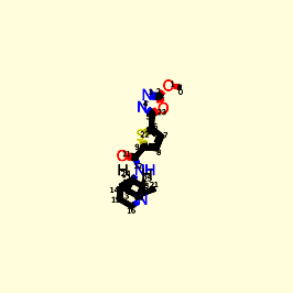 COc1nnc(-c2ccc(C(=O)N[C@@H]3C4CCN(CC4)[C@H]3C)s2)o1